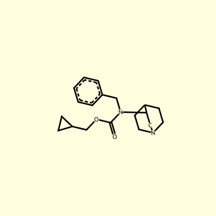 O=C(OCC1CC1)N(Cc1ccccc1)C1CN2CCC1CC2